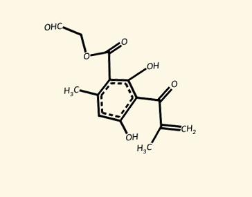 C=C(C)C(=O)c1c(O)cc(C)c(C(=O)OCC=O)c1O